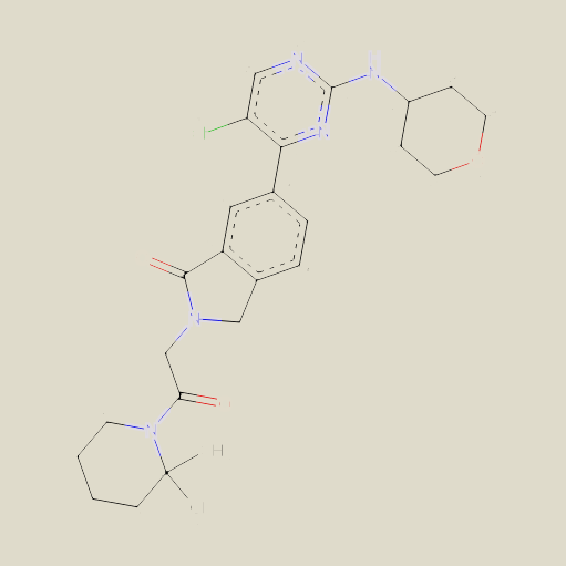 CC1(C)CCCCN1C(=O)CN1Cc2ccc(-c3nc(NC4CCOCC4)ncc3Cl)cc2C1=O